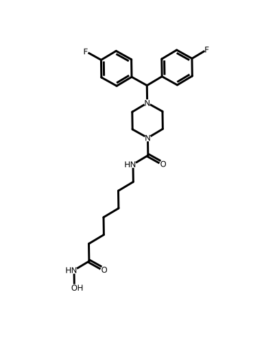 O=C(CCCCCCNC(=O)N1CCN(C(c2ccc(F)cc2)c2ccc(F)cc2)CC1)NO